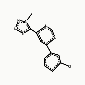 Cn1nnnc1-c1cc(-c2cccc(Cl)c2)ncn1